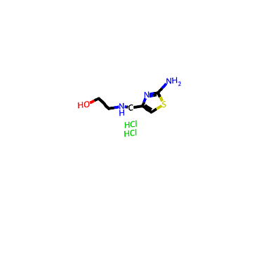 Cl.Cl.Nc1nc(CNCCO)cs1